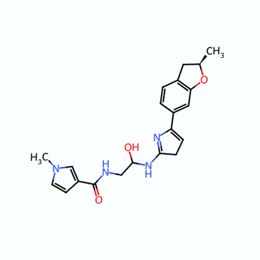 C[C@@H]1Cc2ccc(C3=CCC(NC(O)CNC(=O)c4ccn(C)c4)=N3)cc2O1